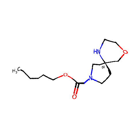 CCCCOC(=O)N1CC[C@@]2(COCCN2)C1